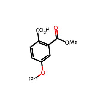 COC(=O)c1cc(OC(C)C)ccc1C(=O)O